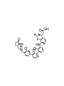 COc1nc(-c2ccnc(-c3cccc(Nc4nccc(C(N)CC(=O)O)c4F)c3Cl)c2Cl)ccc1CNCC1CCC(=O)N1